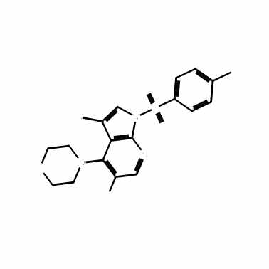 Cc1ccc(S(=O)(=O)n2cc(I)c3c(N4CCOCC4)c(C=O)cnc32)cc1